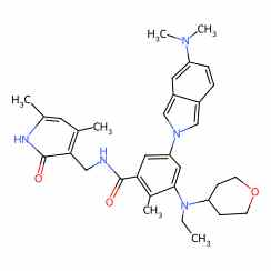 CCN(c1cc(-n2cc3ccc(N(C)C)cc3c2)cc(C(=O)NCc2c(C)cc(C)[nH]c2=O)c1C)C1CCOCC1